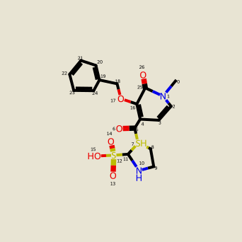 Cn1ccc(C(=O)[SH]2CCNC2S(=O)(=O)O)c(OCc2ccccc2)c1=O